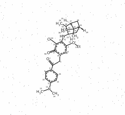 CCOc1nn(CC(=O)c2ccc(N(C)C)cc2)c(=O)c(Cl)c1N[C@@H]1C[C@H]2C[C@H]([C@@H]1C)C2(C)C